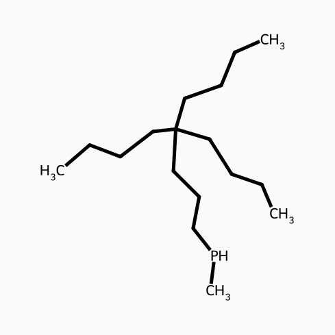 CCCCC(CCCC)(CCCC)CCCPC